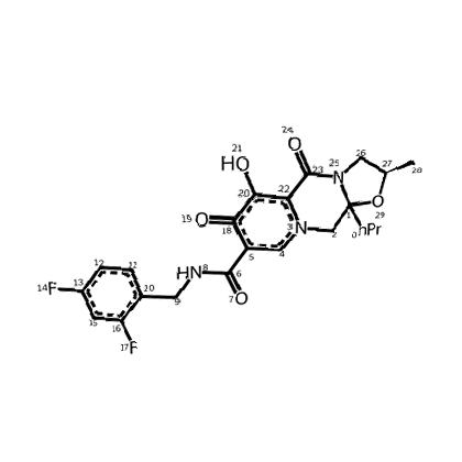 CCCC12Cn3cc(C(=O)NCc4ccc(F)cc4F)c(=O)c(O)c3C(=O)N1C[C@@H](C)O2